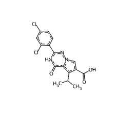 CC(C)c1c(C(=O)O)cn2nc(-c3ccc(Cl)cc3Cl)[nH]c(=O)c12